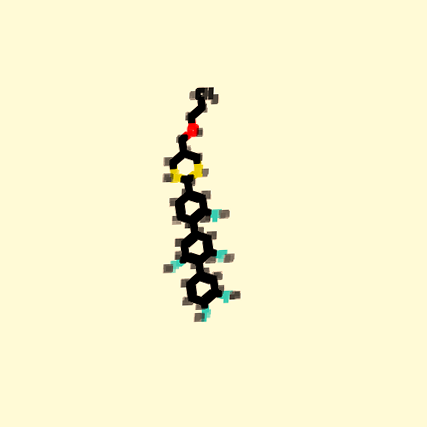 CCCOCC1CSC(c2ccc(-c3cc(F)c(-c4ccc(F)c(F)c4)c(F)c3)c(F)c2)SC1